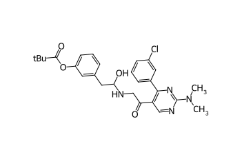 CN(C)c1ncc(C(=O)CNC(O)Cc2cccc(OC(=O)C(C)(C)C)c2)c(-c2cccc(Cl)c2)n1